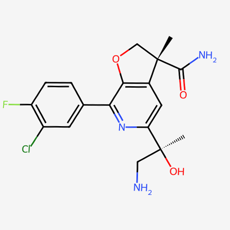 C[C@](O)(CN)c1cc2c(c(-c3ccc(F)c(Cl)c3)n1)OC[C@]2(C)C(N)=O